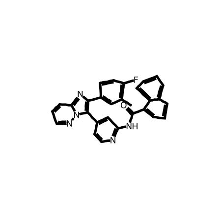 Cc1cc(-c2nc3cccnn3c2-c2ccnc(NC(=O)c3cccc4ccccc34)c2)ccc1F